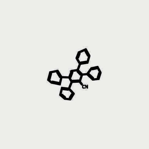 N#Cc1c(-c2ccccc2)c(-c2ccccc2)[c]c(-c2ccccc2)c1-c1ccccc1